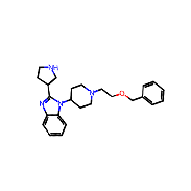 c1ccc(COCCN2CCC(n3c(C4CCNC4)nc4ccccc43)CC2)cc1